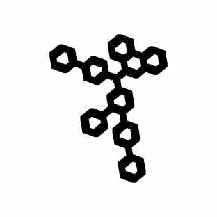 c1ccc(-c2ccc(-c3ccc(N(c4ccc(-c5ccccc5)cc4)c4cc5ccccc5c5ccccc45)cc3-c3ccccc3)cc2)cc1